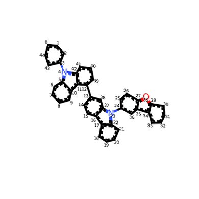 c1ccc(-n2c3ccccc3c3c(-c4ccc5c6ccccc6n(-c6ccc7oc8ccccc8c7c6)c5c4)cccc32)cc1